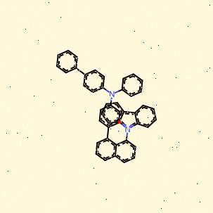 c1ccc(-c2ccc(N(c3ccccc3)c3ccc(-c4cccc5cccc(-n6c7ccccc7c7ccccc76)c45)cc3)cc2)cc1